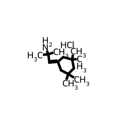 CC(C)(N)C=C1CC(C)(C)CC(C)(C)C1.Cl